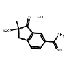 CCCCCCCCC1(C)Cc2ccc(C(=N)N)cc2C1=O.Cl